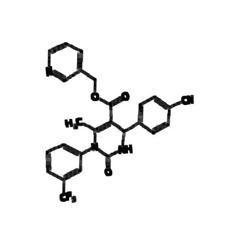 CC1=C(C(=O)OCc2cccnc2)C(c2ccc(C#N)cc2)NC(=O)N1c1cccc(C(F)(F)F)c1